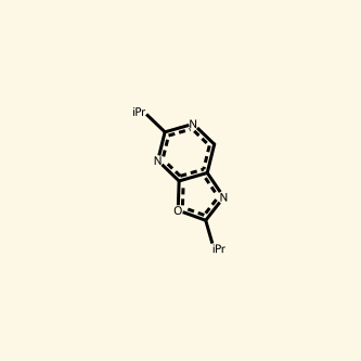 CC(C)c1ncc2nc(C(C)C)oc2n1